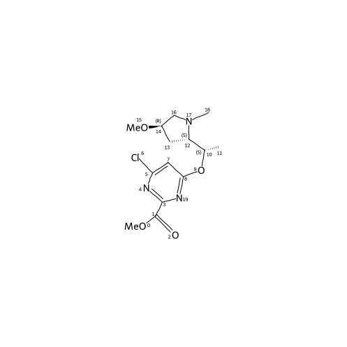 COC(=O)c1nc(Cl)cc(O[C@@H](C)[C@@H]2C[C@@H](OC)CN2C)n1